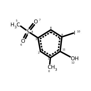 Cc1cc(S(C)(=O)=O)cc(I)c1O